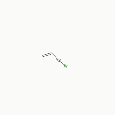 C=[CH][Hg][Br]